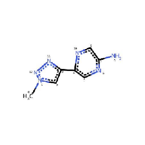 Cn1cc(-c2cnc(N)cn2)nn1